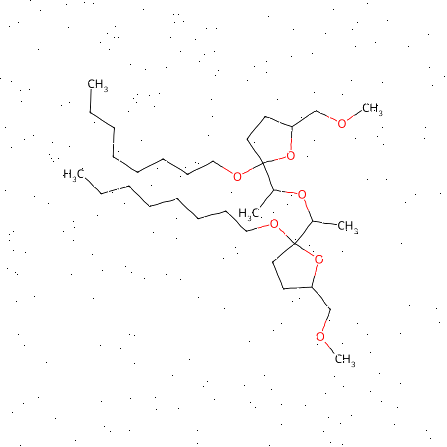 CCCCCCCCOC1(C(C)OC(C)C2(OCCCCCCCC)CCC(COC)O2)CCC(COC)O1